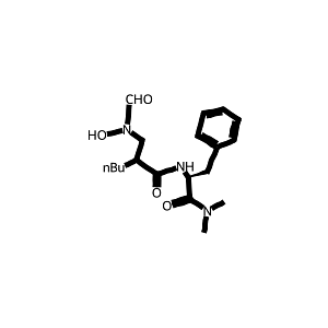 CCCCC(CN(O)C=O)C(=O)N[C@@H](Cc1ccccc1)C(=O)N(C)C